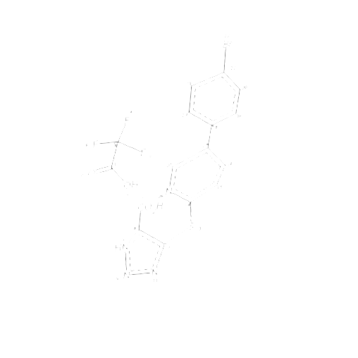 O=C(O)C(F)(F)F.O=C(O)c1[nH]nnc1Sc1ccc(-c2ccc(Br)cc2)cn1